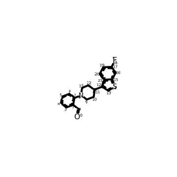 O=Cc1ccccc1N1CCC(c2csc3cc(F)ccc23)CC1